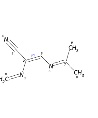 C=N/C(C#N)=C\N=C(C)C